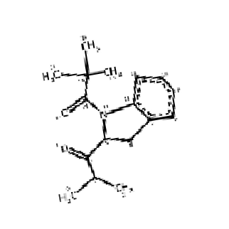 CC(C)C(=O)C1Cc2ccccc2N1C(=O)C(C)(C)C